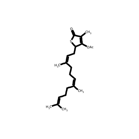 CC(=O)OC1=C(C)C(=O)SC1CC=C(C)CCC=C(C)CCC=C(C)C